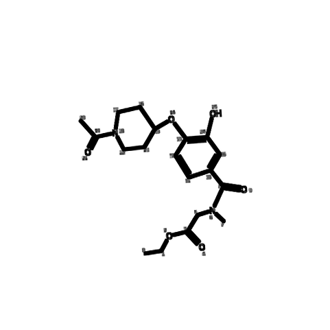 CCOC(=O)CN(C)C(=O)c1ccc(OC2CCN(C(C)=O)CC2)c(O)c1